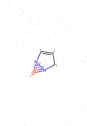 C1=Cn2on2C1